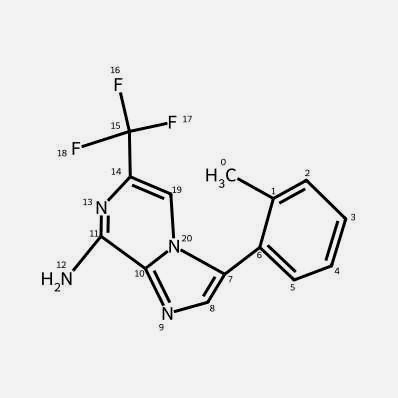 Cc1ccccc1-c1cnc2c(N)nc(C(F)(F)F)cn12